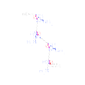 CCCCCCCCCCCC(=O)NC(CCCCN)C(=O)NCCCCCCCC(=O)NC(CCCCN)C(=O)NCCCCCCCC(=O)NC(CCCCN)C(=O)NCCCCCCCC(=O)NC(CCCCN)C(=O)NC